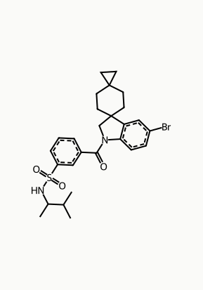 CC(C)C(C)NS(=O)(=O)c1cccc(C(=O)N2CC3(CCC4(CC4)CC3)c3cc(Br)ccc32)c1